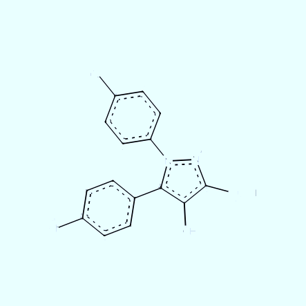 Cc1c(C(=O)O)nn(-c2ccc(Cl)cc2)c1-c1ccc(Cl)cc1